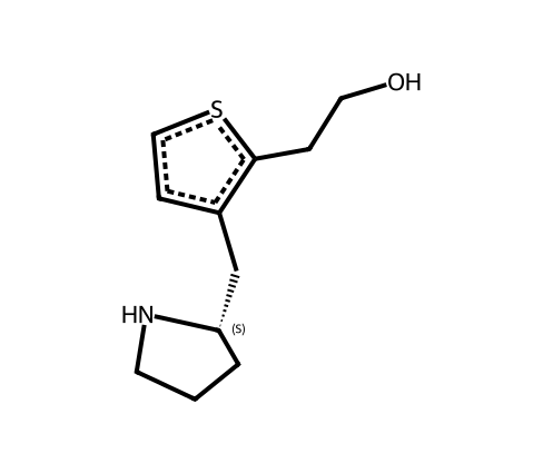 OCCc1sccc1C[C@@H]1CCCN1